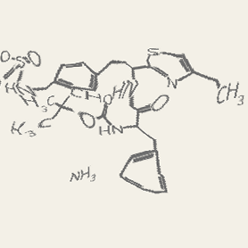 CCc1csc([C@H](Cc2ccc(NS(=O)(=O)O)cc2)NC(=O)C(Cc2ccccc2)NC(=O)OC(C)(C)C)n1.N